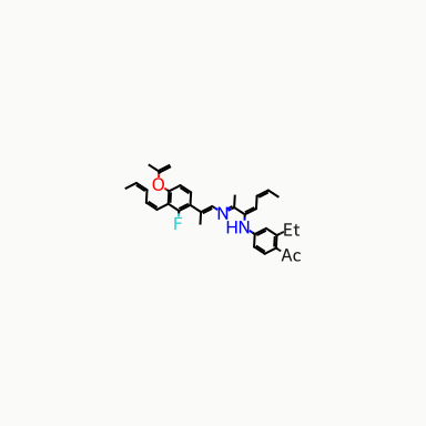 C=C(C)Oc1ccc(/C(C)=C/N=C(C)/C(=C\C=C/C)Nc2ccc(C(C)=O)c(CC)c2)c(F)c1/C=C\C=C/C